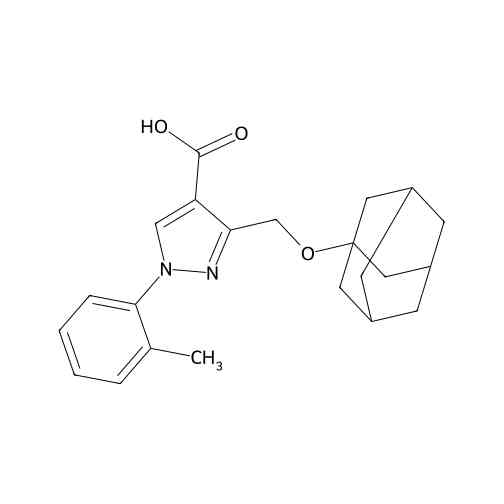 Cc1ccccc1-n1cc(C(=O)O)c(COC23CC4CC(CC(C4)C2)C3)n1